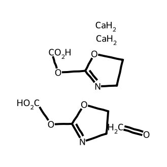 C=O.O=C(O)OC1=NCCO1.O=C(O)OC1=NCCO1.[CaH2].[CaH2]